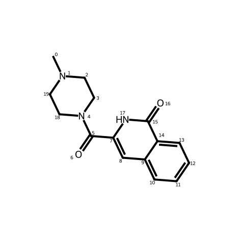 CN1CCN(C(=O)c2cc3ccccc3c(=O)[nH]2)CC1